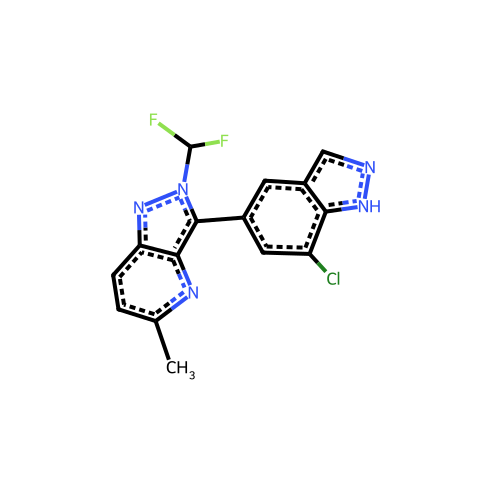 Cc1ccc2nn(C(F)F)c(-c3cc(Cl)c4[nH]ncc4c3)c2n1